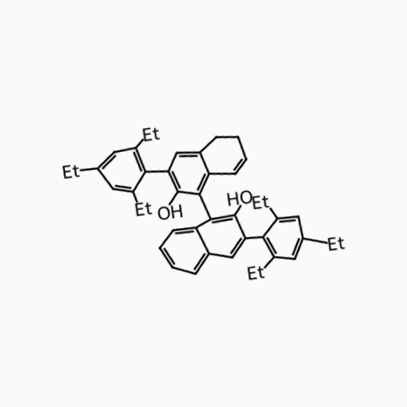 CCc1cc(CC)c(-c2cc3c(c(-c4c(O)c(-c5c(CC)cc(CC)cc5CC)cc5ccccc45)c2O)C=CCC3)c(CC)c1